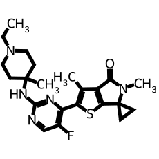 CCN1CCC(C)(Nc2ncc(F)c(-c3sc4c(c3C)C(=O)N(C)C43CC3)n2)CC1